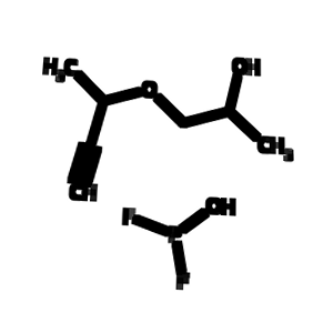 C#CC(C)OCC(C)O.OP(F)F